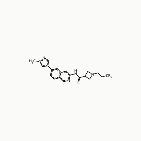 Cn1cc(-c2ccc3cnc(NC(=O)C4CN(CCC(F)(F)F)C4)cc3c2)cn1